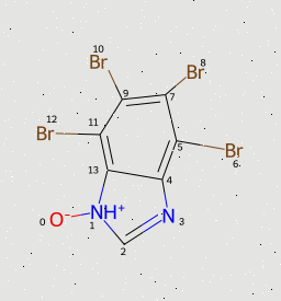 [O-][NH+]1C=Nc2c(Br)c(Br)c(Br)c(Br)c21